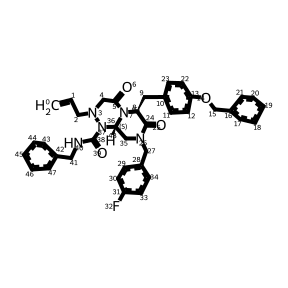 C=CCN1CC(=O)N2[C@@H](Cc3ccc(OCc4ccccc4)cc3)C(=O)N(Cc3ccc(F)cc3)C[C@@H]2N1C(=O)NCc1ccccc1